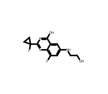 OCCNc1cc(F)c2nc(C3(F)CC3)nc(O)c2c1